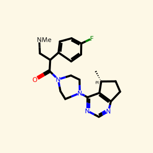 CNCC(C(=O)N1CCN(c2ncnc3c2[C@H](C)CC3)CC1)c1ccc(F)cc1